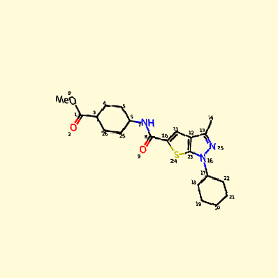 COC(=O)C1CCC(NC(=O)c2cc3c(C)nn(C4CCCCC4)c3s2)CC1